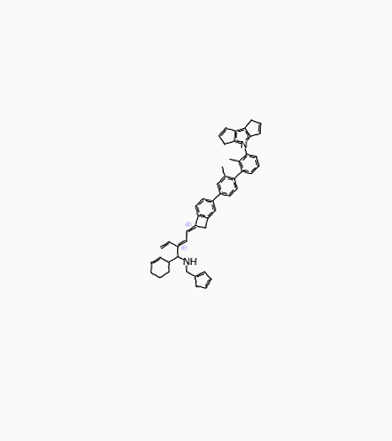 C=C/C(=C\C=C1/Cc2cc(-c3ccc(-c4cccc(-n5c6c(c7c5CC=C7)CC=C6)c4C)c(C)c3)ccc21)C(NCC1=CC=CC1)C1C=CCCC1